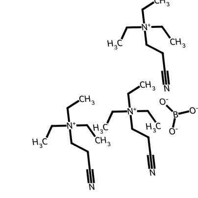 CC[N+](CC)(CC)CCC#N.CC[N+](CC)(CC)CCC#N.CC[N+](CC)(CC)CCC#N.[O-]B([O-])[O-]